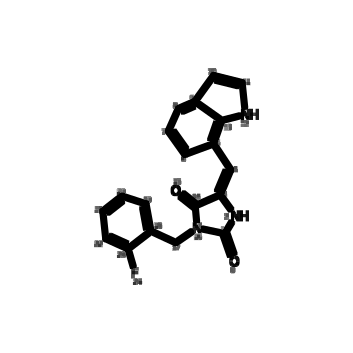 O=C1NC(=Cc2cccc3cc[nH]c23)C(=O)N1Cc1ccccc1F